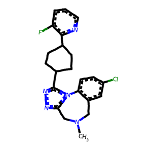 CN1Cc2cc(Cl)ccc2-n2c(nnc2C2CCC(c3ncccc3F)CC2)C1